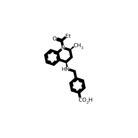 CCC(=O)N1c2ccccc2[C@H](NCc2ccc(C(=O)O)cc2)C[C@@H]1C